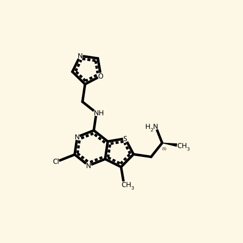 Cc1c(C[C@H](C)N)sc2c(NCc3cnco3)nc(Cl)nc12